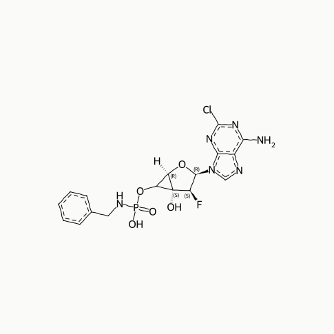 Nc1nc(Cl)nc2c1ncn2[C@@H]1O[C@@H]2C(OP(=O)(O)NCc3ccccc3)[C@]2(O)[C@@H]1F